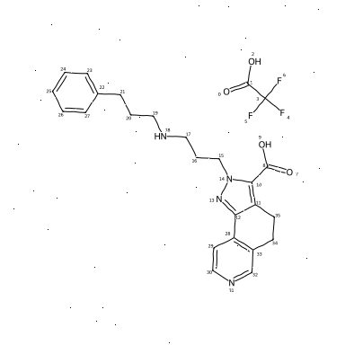 O=C(O)C(F)(F)F.O=C(O)c1c2c(nn1CCCNCCCc1ccccc1)-c1ccncc1CC2